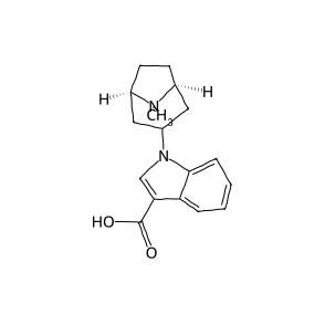 CN1[C@@H]2CC[C@H]1CC(n1cc(C(=O)O)c3ccccc31)C2